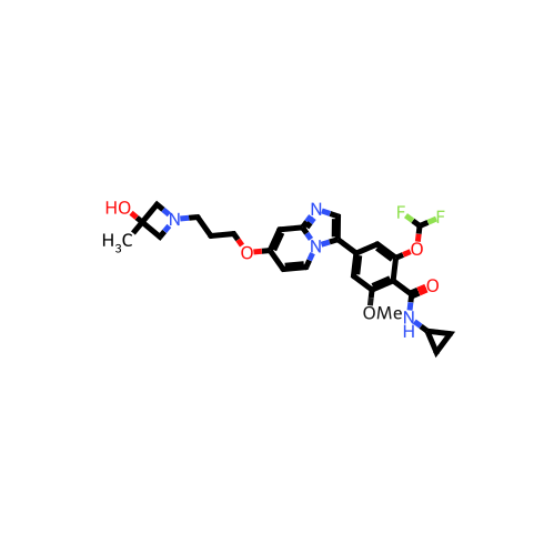 COc1cc(-c2cnc3cc(OCCCN4CC(C)(O)C4)ccn23)cc(OC(F)F)c1C(=O)NC1CC1